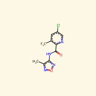 Cc1nonc1NC(=O)c1ncc(Cl)cc1C(F)(F)F